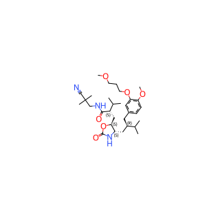 COCCCOc1cc(C[C@H](C[C@@H]2NC(=O)O[C@H]2C[C@H](C(=O)NCC(C)(C)C#N)C(C)C)C(C)C)ccc1OC